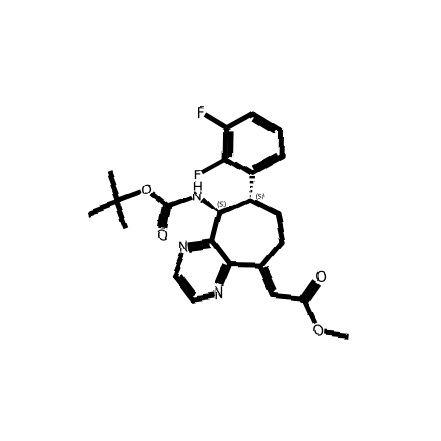 COC(=O)C=C1CC[C@@H](c2cccc(F)c2F)[C@H](NC(=O)OC(C)(C)C)c2nccnc21